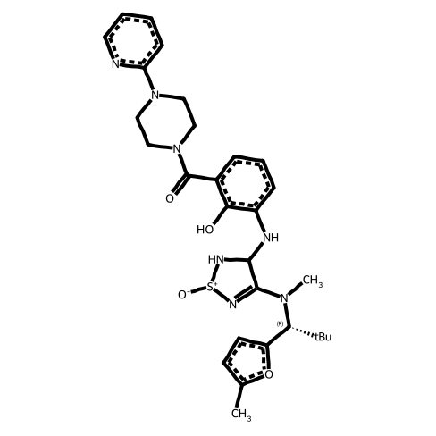 Cc1ccc([C@H](N(C)C2=N[S+]([O-])NC2Nc2cccc(C(=O)N3CCN(c4ccccn4)CC3)c2O)C(C)(C)C)o1